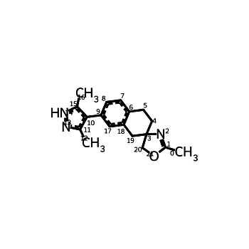 CC1=NC2(CCc3ccc(-c4c(C)n[nH]c4C)cc3C2)CO1